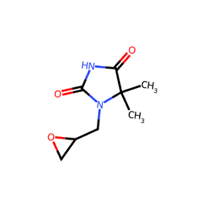 CC1(C)C(=O)NC(=O)N1CC1CO1